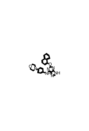 c1ccc2c(Oc3nc(Nc4ccc(N5CCOCC5)cc4)c4nc[nH]c4n3)cccc2c1